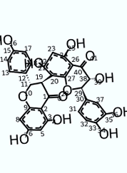 O=C1c2c(O)cc(O)cc2O[C@H](c2ccc(O)cc2)[C@H]1c1c(O)cc(O)c2c1O[C@H](c1ccc(O)c(O)c1)[C@@H](O)C2=O